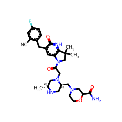 C[C@@H]1CN(CC(=O)N2CC(C)(C)c3[nH]c(=O)c(Cc4ccc(F)cc4C#N)cc32)[C@@H](CN2CCOC(C(N)=O)C2)CN1